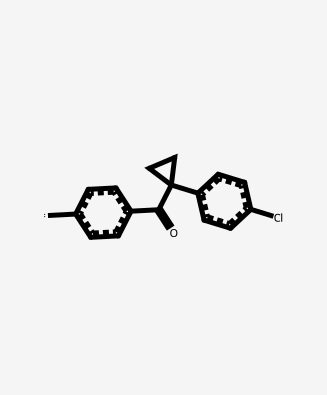 [CH]c1ccc(C(=O)C2(c3ccc(Cl)cc3)CC2)cc1